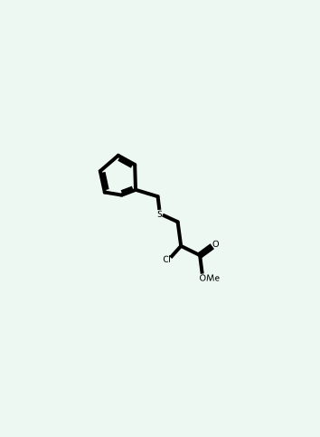 COC(=O)C(Cl)CSCc1ccccc1